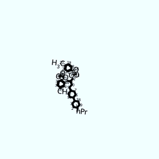 CCCC1CCC(C2CCC(CCC(COS(=O)(=O)c3ccc(C)cc3)COS(=O)(=O)c3ccc(C)cc3)CC2)CC1